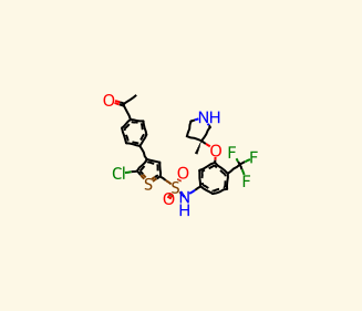 CC(=O)c1ccc(-c2cc(S(=O)(=O)Nc3ccc(C(F)(F)F)c(O[C@]4(C)CCNC4)c3)sc2Cl)cc1